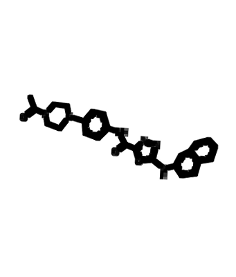 CC(=O)N1CCN(c2ccc(NC(=O)c3nnc(Nc4ccc5ccccc5c4)o3)cc2)CC1